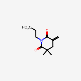 C=C1CC(C)(C)C(=O)N(CCC(=O)O)C1=O